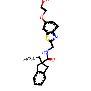 O=C(O)CC1(C(=O)NCc2nc3ccc(OCCO)cc3s2)Cc2ccccc2C1